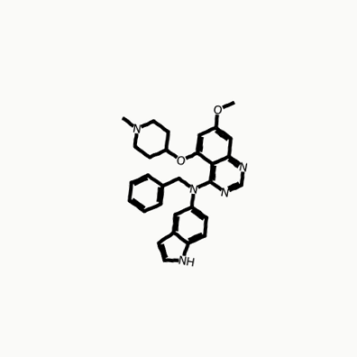 COc1cc(OC2CCN(C)CC2)c2c(N(Cc3ccccc3)c3ccc4[nH]ccc4c3)ncnc2c1